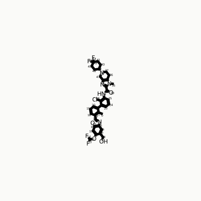 Cc1c(-c2nc3cc(CO)c(OC(F)F)cc3o2)cccc1-c1cccc(NC(=O)c2nc3c(n2C)CCN(C2CCC(F)(F)CC2)C3)c1Cl